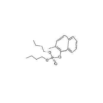 CCCCOP(=O)(OCCCC)Oc1c(C)ccc2ccccc12